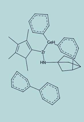 CC1=C(C)C(C)[C]([Zr]([NH]C23CC4C(C2)C4C3)[GeH]([c]2ccccc2)[c]2ccccc2)=C1C.c1ccc(-c2ccccc2)cc1